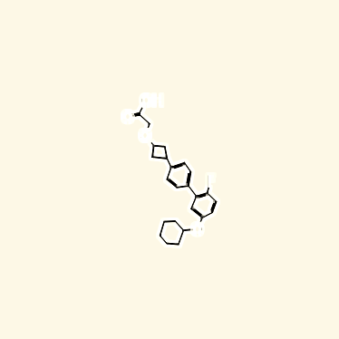 O=C(O)COC1CC(c2ccc(-c3cc(OC4CCCCC4)ccc3F)cc2)C1